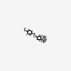 CCc1ccc(COc2ccc(S(F)(F)(F)(F)F)cc2)cc1